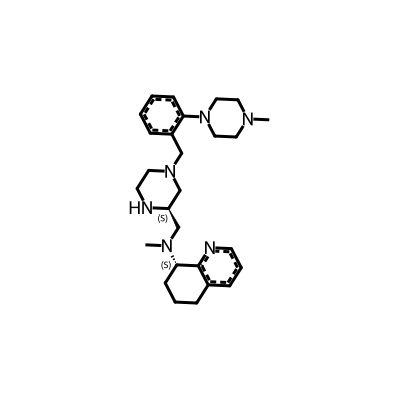 CN1CCN(c2ccccc2CN2CCN[C@H](CN(C)[C@H]3CCCc4cccnc43)C2)CC1